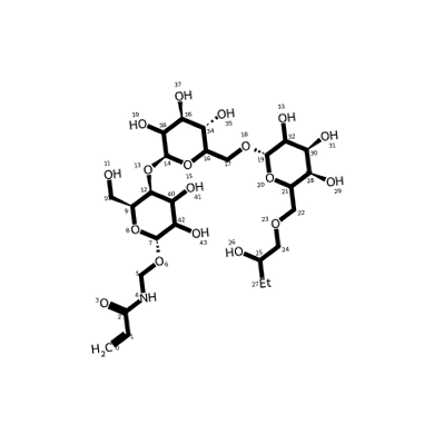 C=CC(=O)NCO[C@@H]1O[C@@H](CO)[C@@H](O[C@@H]2OC(CO[C@H]3OC(COCC(O)CC)[C@H](O)[C@H](O)C3O)[C@@H](O)[C@H](O)C2O)C(O)C1O